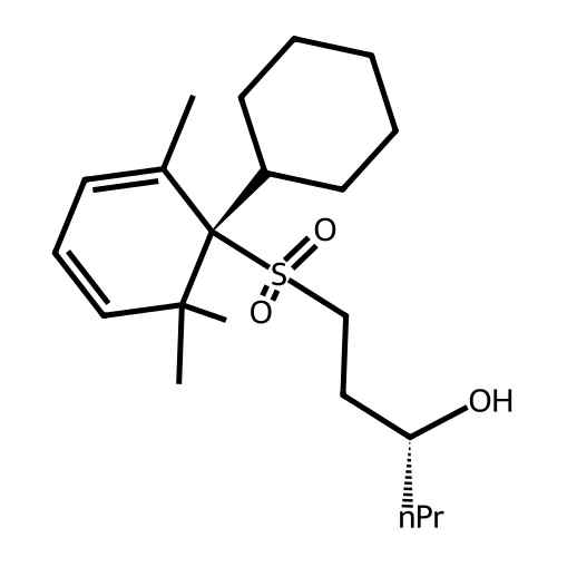 CCC[C@@H](O)CCS(=O)(=O)[C@@]1(C2CCCCC2)C(C)=CC=CC1(C)C